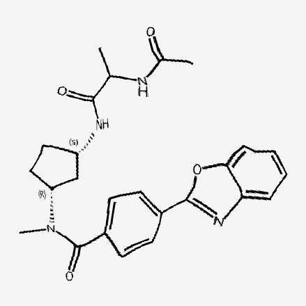 CC(=O)NC(C)C(=O)N[C@H]1CC[C@@H](N(C)C(=O)c2ccc(-c3nc4ccccc4o3)cc2)C1